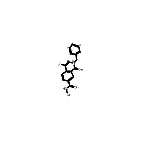 O=C(NO)c1ccc2c(Br)cn(Cc3ccccc3)c(=O)c2c1